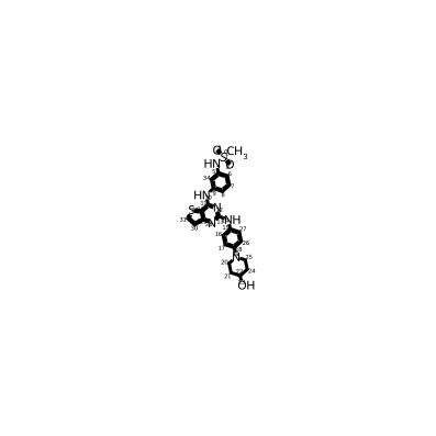 CS(=O)(=O)Nc1cccc(Nc2nc(Nc3ccc(N4CCC(O)CC4)cc3)nc3ccsc23)c1